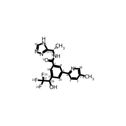 Cc1ccc(-c2cc(C(=O)N[C@@H](C)c3nnc[nH]3)cc(C(O)C(F)(F)F)c2)nc1